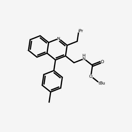 Cc1ccc(-c2c(CNC(=O)OC(C)(C)C)c(CC(C)C)nc3cc[c]cc23)cc1